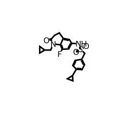 O=C1CCc2cc(NS(=O)(=O)Cc3ccc(C4CC4)cc3)cc(F)c2N1CC1CC1